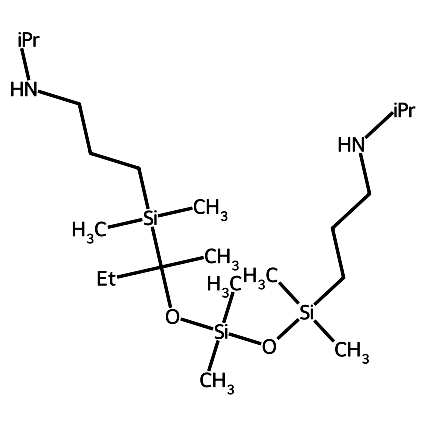 CCC(C)(O[Si](C)(C)O[Si](C)(C)CCCNC(C)C)[Si](C)(C)CCCNC(C)C